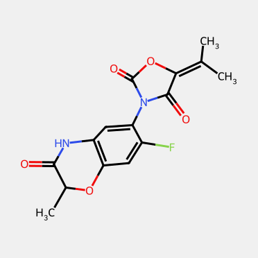 CC(C)=C1OC(=O)N(c2cc3c(cc2F)OC(C)C(=O)N3)C1=O